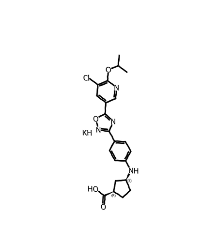 CC(C)Oc1ncc(-c2nc(-c3ccc(N[C@H]4CC[C@@H](C(=O)O)C4)cc3)no2)cc1Cl.[KH]